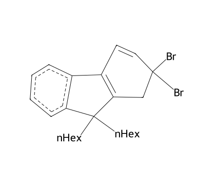 CCCCCCC1(CCCCCC)C2=C(C=CC(Br)(Br)C2)c2ccccc21